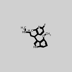 CNCCC(c1ccc(F)nc1C)c1c[nH]c2cccc(OC)c12